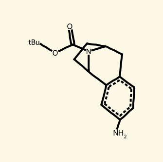 CC(C)(C)OC(=O)N1C2CCC1c1cc(N)ccc1C2